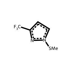 CSn1ccc(C(F)(F)F)n1